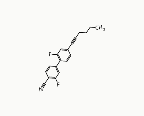 CCCCC#Cc1ccc(-c2ccc(C#N)c(F)c2)c(F)c1